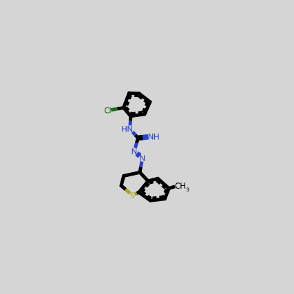 Cc1ccc2c(c1)C(N=NC(=N)Nc1ccccc1Cl)CCS2